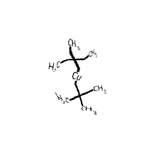 C[C](C)(C)[Cu][C](C)(C)C